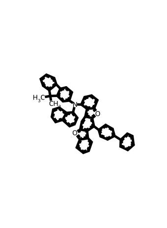 CC1(C)c2ccccc2-c2ccc(N(c3cccc4ccccc34)c3cccc4oc5c(-c6ccc(-c7ccccc7)cc6)c6c(cc5c34)oc3ccccc36)cc21